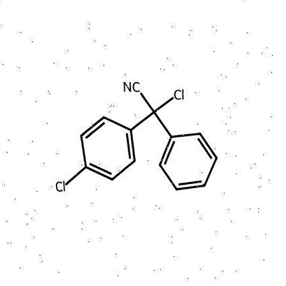 N#CC(Cl)(c1ccccc1)c1ccc(Cl)cc1